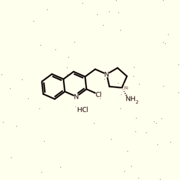 Cl.N[C@H]1CCN(Cc2cc3ccccc3nc2Cl)C1